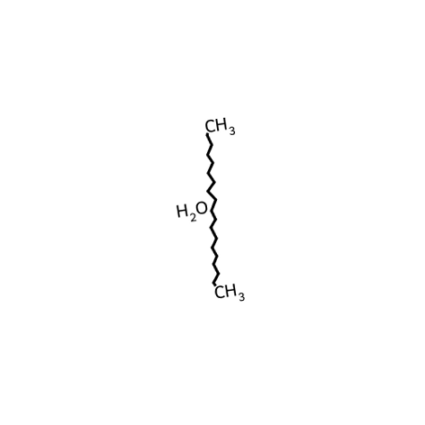 CCCCCCCCCCCCCCCCCCC.O